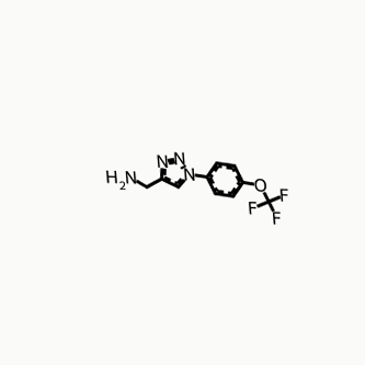 NCc1cn(-c2ccc(OC(F)(F)F)cc2)nn1